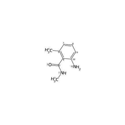 CNC(=O)c1c(C)cccc1N